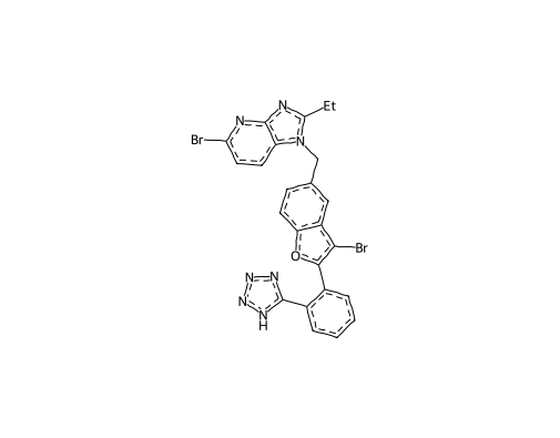 CCc1nc2nc(Br)ccc2n1Cc1ccc2oc(-c3ccccc3-c3nnn[nH]3)c(Br)c2c1